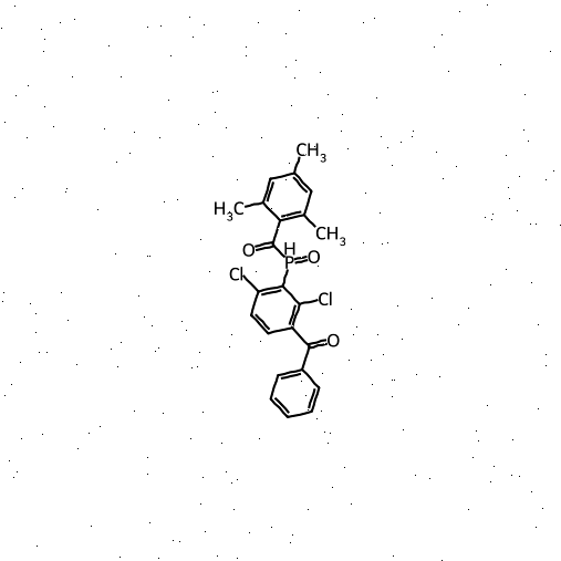 Cc1cc(C)c(C(=O)[PH](=O)c2c(Cl)ccc(C(=O)c3ccccc3)c2Cl)c(C)c1